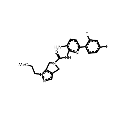 COCCn1ncc2c1CN(C(=O)Nc1nc(-c3ccc(F)cc3F)ccc1N)C2